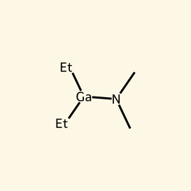 C[CH2][Ga]([CH2]C)[N](C)C